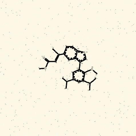 COC(=O)C=C(C)c1ccc2scc(-c3cc(C(C)C)cc(C(C)C)c3OC)c2c1